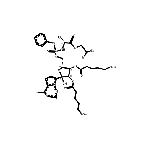 CCCCCCCCCCCCCCC(=O)O[C@H]1[C@@H](OC(=O)CCCCCCCCCCCCCC)[C@](C#N)(c2ccc3c(C)ncnn23)O[C@@H]1COP(=O)(N[C@H](C)C(=O)OCC(CC)CC)Oc1ccccc1